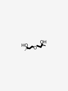 C[C@H](O)CCOCC[C@H](C)O